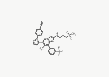 Cc1c(-c2ccnn2-c2ccc(C#N)cc2)cn2nc(NCCCS(C)(=O)=O)nc2c1-c1cccc(C(F)(F)F)c1